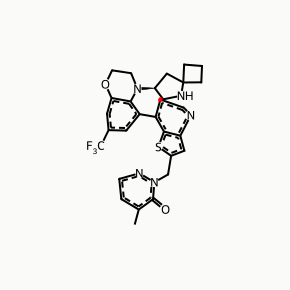 Cc1ccnn(Cc2cc3nccc(-c4cc(C(F)(F)F)cc5c4N([C@@H]4CNC6(CCC6)C4)CCO5)c3s2)c1=O